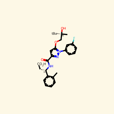 Cc1ccccc1[C@H](CC(=O)O)NC(=O)c1cc(OC[C@](C)(O)C(C)(C)C)n(-c2cccc(F)c2)n1